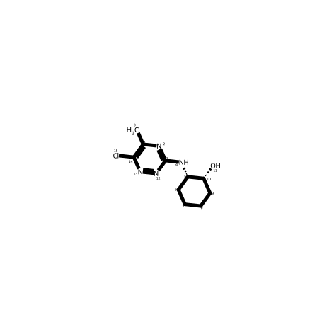 Cc1nc(N[C@H]2CCCC[C@H]2O)nnc1Cl